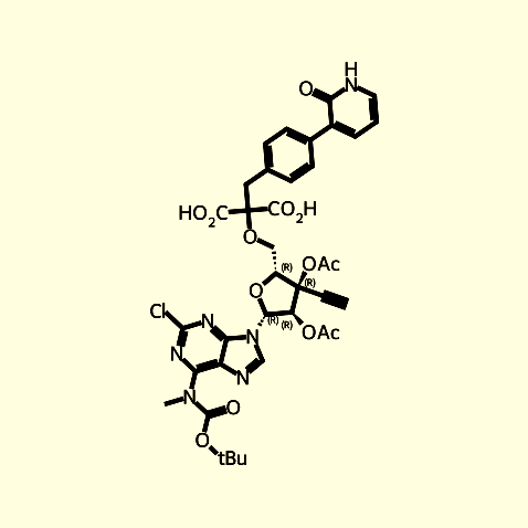 C#C[C@@]1(OC(C)=O)[C@@H](COC(Cc2ccc(-c3ccc[nH]c3=O)cc2)(C(=O)O)C(=O)O)O[C@@H](n2cnc3c(N(C)C(=O)OC(C)(C)C)nc(Cl)nc32)[C@@H]1OC(C)=O